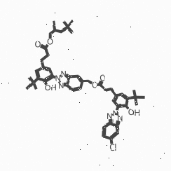 CC(COC(=O)CCc1cc(-n2nc3ccc(COC(=O)CCc4cc(-n5nc6ccc(Cl)cc6n5)c(O)c(C(C)(C)C)c4)cc3n2)c(O)c(C(C)(C)C)c1)CC(C)(C)C